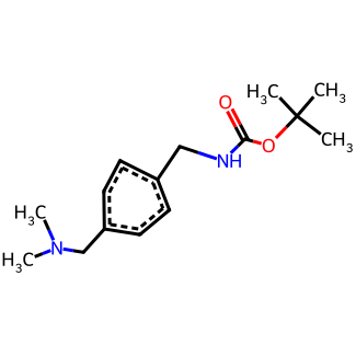 CN(C)Cc1ccc(CNC(=O)OC(C)(C)C)cc1